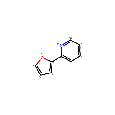 c1ccc(-c2ccco2)nc1